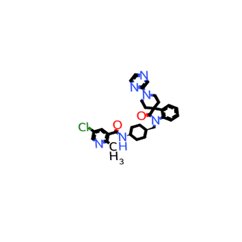 Cc1ncc(Cl)cc1C(=O)N[C@H]1CC[C@H](CN2C(=O)C3(CCN(c4cnccn4)CC3)c3ccccc32)CC1